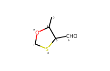 CC1OCSC1C=O